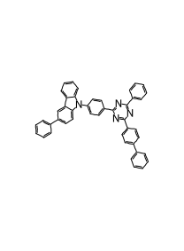 c1ccc(-c2ccc(-c3nc(-c4ccccc4)nc(-c4ccc(-n5c6ccccc6c6cc(-c7ccccc7)ccc65)cc4)n3)cc2)cc1